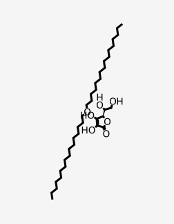 CCCCCCCCCCCCCCCCOCCCCCCCCCCCCCCCC.O=C1O[C@H](C(O)CO)C(O)=C1O